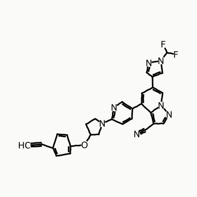 C#Cc1ccc(OC2CCN(c3ccc(-c4cc(-c5cnn(C(F)F)c5)cn5ncc(C#N)c45)cn3)C2)cc1